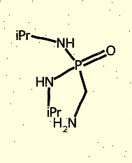 CC(C)NP(=O)(CN)NC(C)C